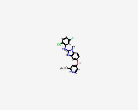 CC(=O)Nc1cc(Oc2ccc3c(c2)nc(Nc2cc(F)ccc2Cl)n3C)ccn1